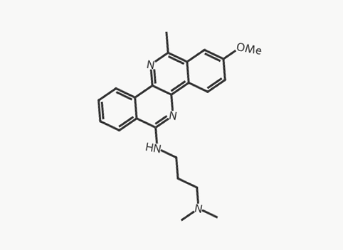 COc1ccc2c(c1)c(C)nc1c3ccccc3c(NCCCN(C)C)nc21